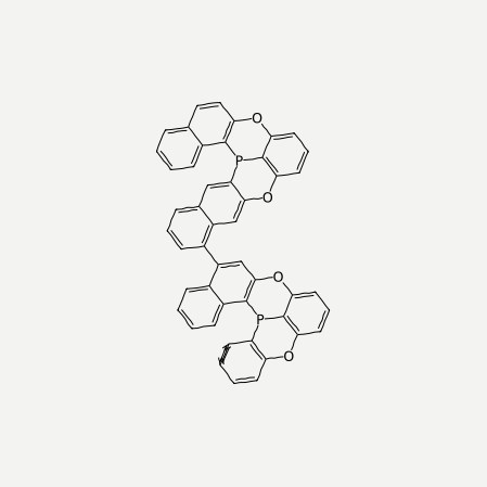 c1cc2c3c(c1)Oc1ccc4ccccc4c1P3c1cc3cccc(-c4cc5c(c6ccccc46)P4c6c(cccc6O5)Oc5ccc6ccccc6c54)c3cc1O2